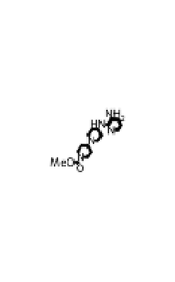 COC(=O)N1CCC(N2CCC(Nc3ncccc3N)CC2)CC1